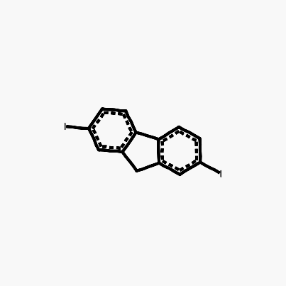 Ic1ccc2c(c1)Cc1cc(I)ccc1-2